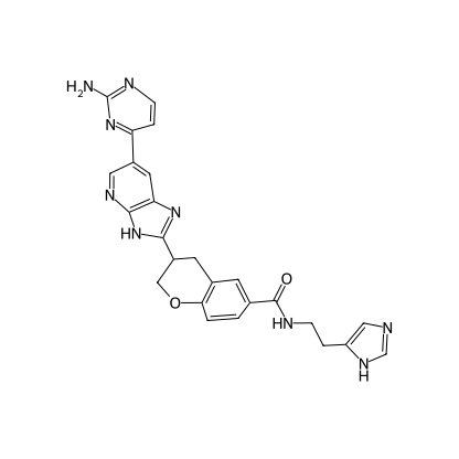 Nc1nccc(-c2cnc3[nH]c(C4COc5ccc(C(=O)NCCc6cnc[nH]6)cc5C4)nc3c2)n1